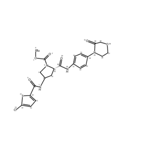 CC(C)(C)OC(=O)N1CC(NC(=O)c2ccc(Cl)s2)C[C@H]1C(=O)Nc1ccc(N2CCOCC2=O)cc1